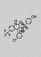 O=c1[nH]c2ccc(C(F)(F)F)cc2c(-c2cc(Cl)ccc2O)c1NS(=O)(=O)c1ccc(O)cc1